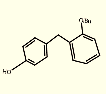 CC(C)COc1ccccc1Cc1ccc(O)cc1